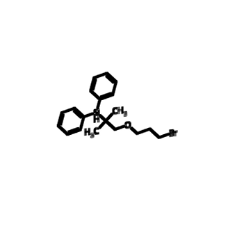 CC(C)(COCCCBr)[SiH](c1ccccc1)c1ccccc1